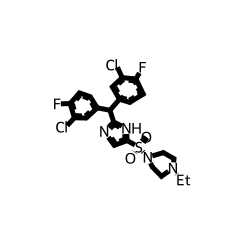 CCN1CCN(S(=O)(=O)c2cnc(C(c3ccc(F)c(Cl)c3)c3ccc(F)c(Cl)c3)[nH]2)CC1